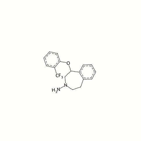 NN1CCc2ccccc2C(Oc2ccccc2C(F)(F)F)C1